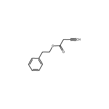 C#CCC(=O)OCCc1ccccc1